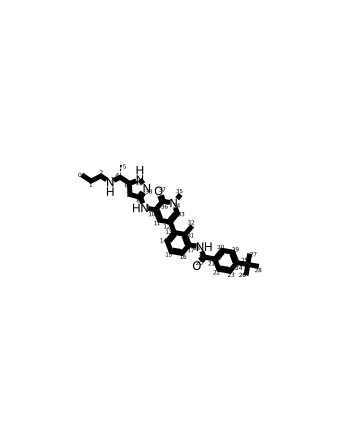 CCCN[C@H](C)C1CC(Nc2cc(-c3cccc(NC(=O)c4ccc(C(C)(C)C)cc4)c3C)cn(C)c2=O)=NN1